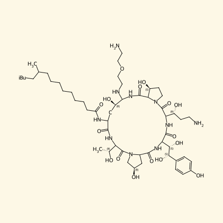 CCC(C)CC(C)CCCCCCCCC(=O)NC1C[C@@H](O)C(NCCOCCN)NC(=O)C2[C@@H](O)CCN2C(=O)C([C@H](O)CCN)NC(=O)C([C@H](O)[C@@H](O)c2ccc(O)cc2)NC(=O)C2C[C@@H](O)CN2C(=O)C([C@@H](C)O)NC1=O